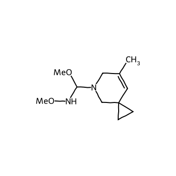 CONC(OC)N1CC(C)=CC2(CC2)C1